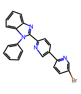 Brc1ccc(-c2ccc(-c3nc4ccccc4n3-c3ccccc3)nc2)nc1